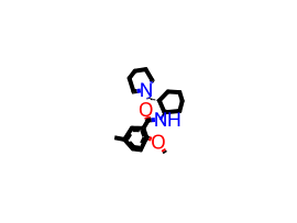 COc1ccc(C)cc1C(=O)N[C@@H]1CCCC[C@H]1CN1CCCCC1